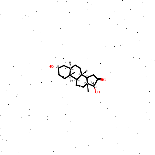 C[C@@]12CC[C@@H]3[C@H](CC[C@@H]4C[C@@H](O)CC[C@]43C)[C@H]1CC(=O)[C@H]2O